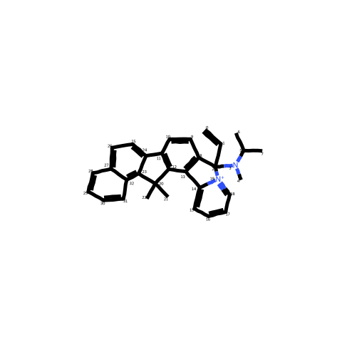 C=CC1(N(C)C(C)C)c2ccc3c(c2-c2cccc[n+]21)C(C)(C)c1c-3ccc2ccccc12